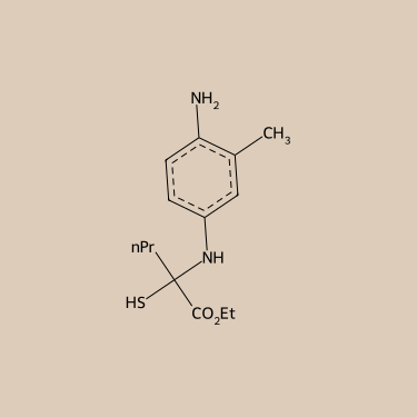 CCCC(S)(Nc1ccc(N)c(C)c1)C(=O)OCC